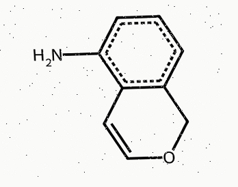 Nc1cccc2c1C=COC2